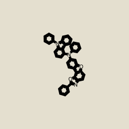 c1ccc(-c2nc3ccc4oc5cc(N(c6ccccc6)c6cccc7c6c6ccccc6n7-c6ccccc6)ccc5c4c3o2)cc1